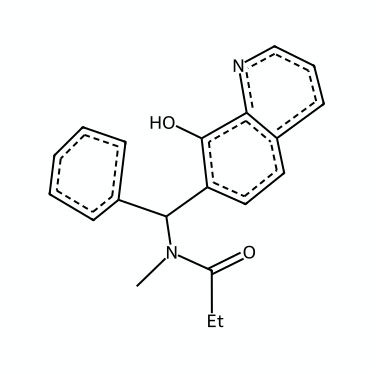 CCC(=O)N(C)C(c1ccccc1)c1ccc2cccnc2c1O